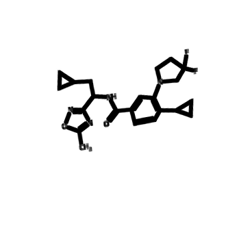 Cc1nc(C(CC2CC2)NC(=O)c2ccc(C3CC3)c(N3CCC(F)(F)C3)c2)no1